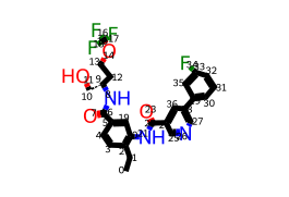 CCc1ccc(C(=O)N[C@H](CO)CCOC(F)(F)F)cc1NC(=O)c1cncc(-c2cccc(F)c2)c1